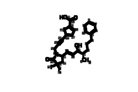 C[C@@H](CCCc1ccccc1)[C@H](O)/C=C/C1CC(F)(F)C(=O)N1CC#Cc1ccc(C(=O)O)s1